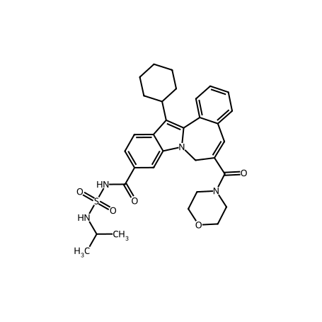 CC(C)NS(=O)(=O)NC(=O)c1ccc2c(C3CCCCC3)c3n(c2c1)CC(C(=O)N1CCOCC1)=Cc1ccccc1-3